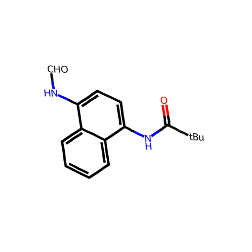 CC(C)(C)C(=O)Nc1ccc(NC=O)c2ccccc12